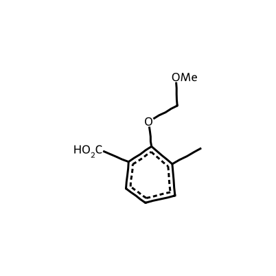 COCOc1c(C)cccc1C(=O)O